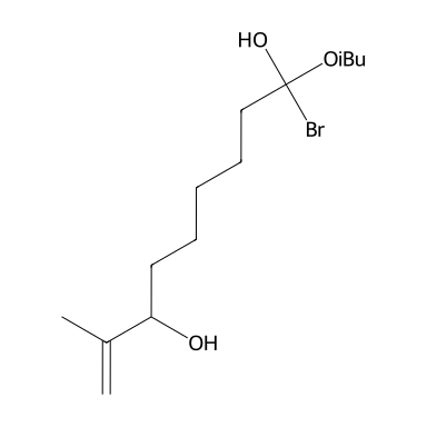 C=C(C)C(O)CCCCCC(O)(Br)OCC(C)C